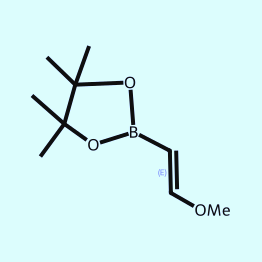 CO/C=C/B1OC(C)(C)C(C)(C)O1